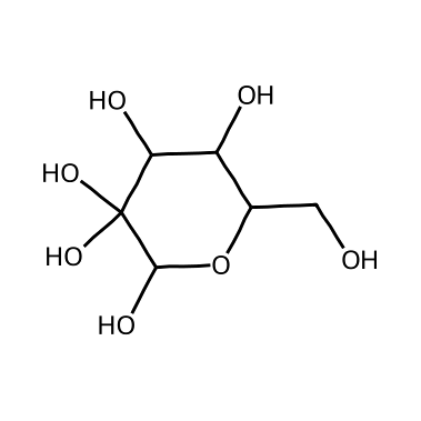 OCC1OC(O)C(O)(O)C(O)C1O